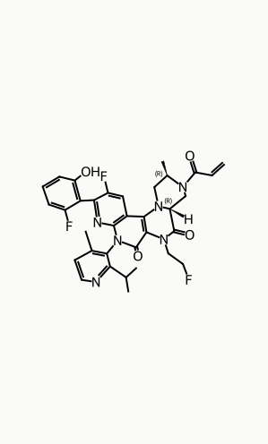 C=CC(=O)N1C[C@@H]2C(=O)N(CCF)c3c(c4cc(F)c(-c5c(O)cccc5F)nc4n(-c4c(C)ccnc4C(C)C)c3=O)N2C[C@H]1C